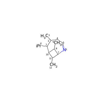 CC(C)C1C(C)C/C=N\C2C(C)C1C2C